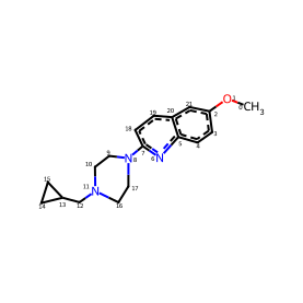 COc1ccc2nc(N3CCN(CC4CC4)CC3)ccc2c1